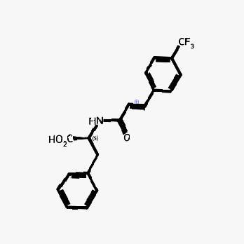 O=C(/C=C/c1ccc(C(F)(F)F)cc1)N[C@@H](Cc1ccccc1)C(=O)O